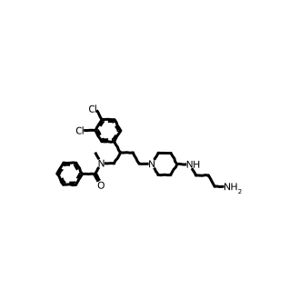 CN(CC(CCN1CCC(NCCCN)CC1)c1ccc(Cl)c(Cl)c1)C(=O)c1ccccc1